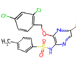 Cc1ccc(S(=O)(=O)Nc2ncc(Br)nc2OCc2ccc(Cl)cc2Cl)cc1